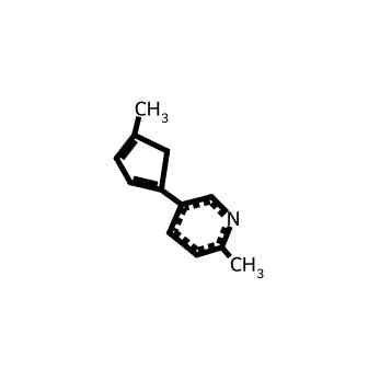 CC1=CC=C(c2ccc(C)nc2)C1